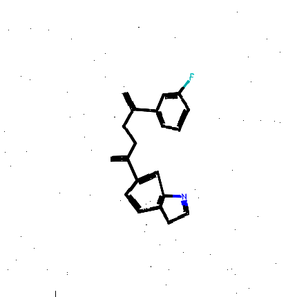 C=C(CCC(=C)c1ccc2c(c1)N=CC2)c1cccc(F)c1